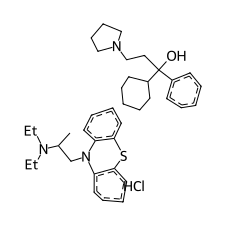 CCN(CC)C(C)CN1c2ccccc2Sc2ccccc21.Cl.OC(CCN1CCCC1)(c1ccccc1)C1CCCCC1